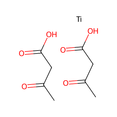 CC(=O)CC(=O)O.CC(=O)CC(=O)O.[Ti]